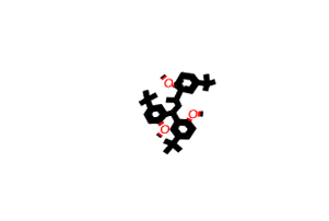 COc1ccc(C(C)(C)C)cc1C(C)CC(c1cc(C(C)(C)C)ccc1OC)c1cc(C(C)(C)C)ccc1OC